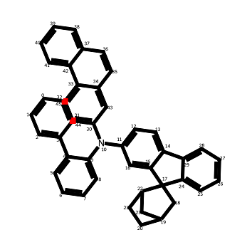 c1ccc(-c2ccccc2N(c2ccc3c(c2)C2(CC4CCC2C4)c2ccccc2-3)c2ccc3c(ccc4ccccc43)c2)cc1